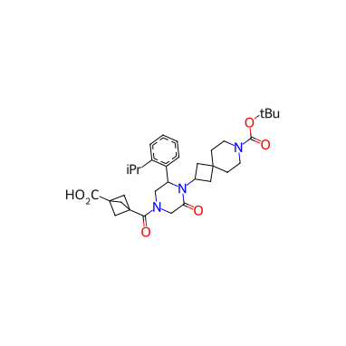 CC(C)c1ccccc1C1CN(C(=O)C23CC(C(=O)O)(C2)C3)CC(=O)N1C1CC2(CCN(C(=O)OC(C)(C)C)CC2)C1